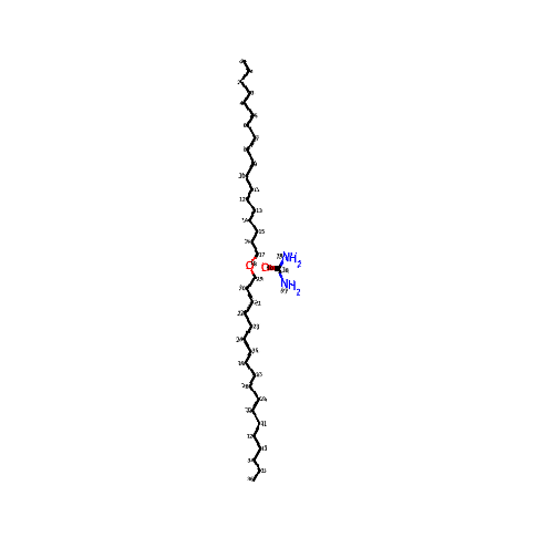 CCCCCCCCCCCCCCCCCCOCCCCCCCCCCCCCCCCCC.NC(N)=O